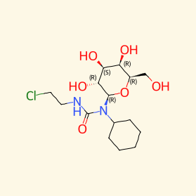 O=C(NCCCl)N(C1CCCCC1)[C@@H]1O[C@H](CO)[C@H](O)[C@H](O)[C@H]1O